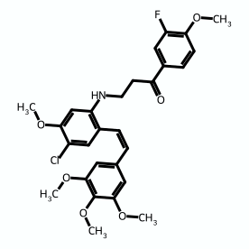 COc1ccc(C(=O)CCNc2cc(OC)c(Cl)cc2/C=C\c2cc(OC)c(OC)c(OC)c2)cc1F